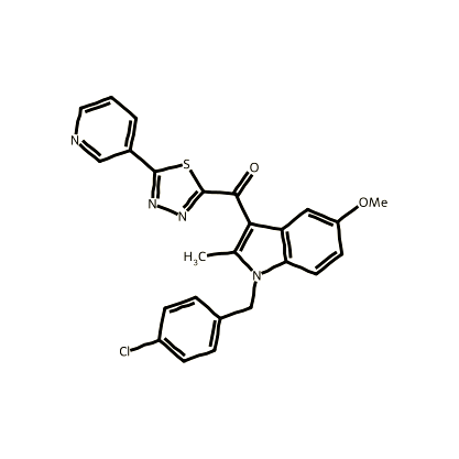 COc1ccc2c(c1)c(C(=O)c1nnc(-c3cccnc3)s1)c(C)n2Cc1ccc(Cl)cc1